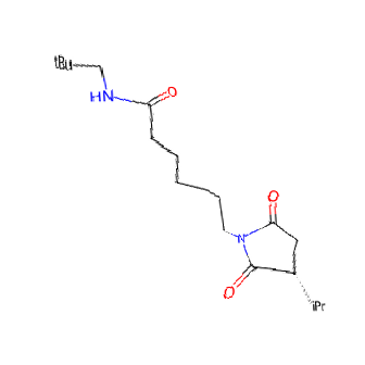 CC(C)[C@H]1CC(=O)N(CCCCCC(=O)NCC(C)(C)C)C1=O